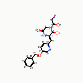 O=C1CN(C(=O)CI)C(=O)C(=Cc2ccc(OCc3ccccc3)cn2)N1